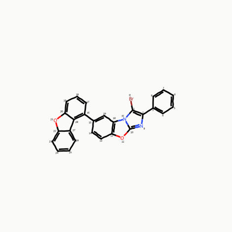 Brc1c(-c2ccccc2)nc2oc3ccc(-c4cccc5oc6ccccc6c45)cc3n12